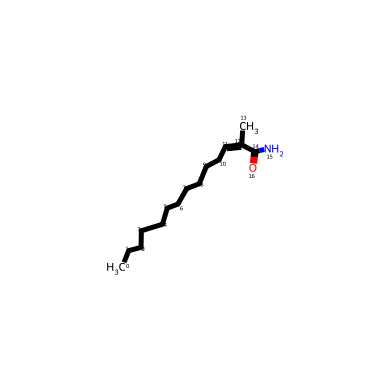 CCCCCCCCCCCC=C(C)C(N)=O